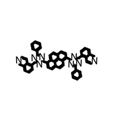 c1ccc(-c2nc(-c3cccc4cnccc34)nc(-c3ccc4ccc5c(-c6nc(-c7ccccc7)nc(-c7cccc8cnccc78)n6)ccc6ccc3c4c65)n2)cc1